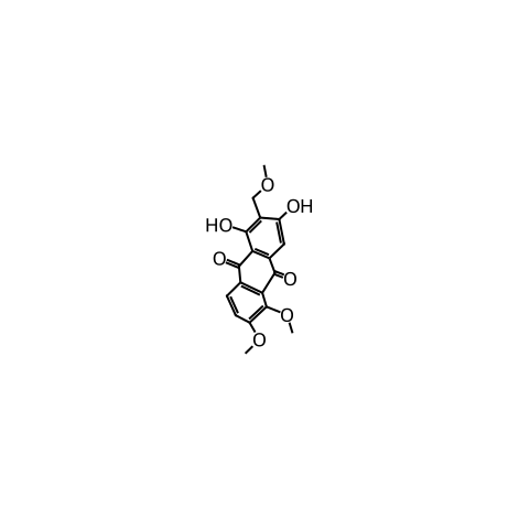 COCc1c(O)cc2c(c1O)C(=O)c1ccc(OC)c(OC)c1C2=O